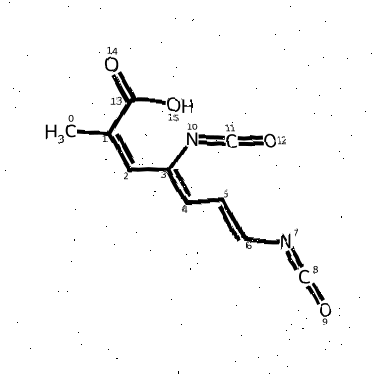 CC(=CC(=CC=CN=C=O)N=C=O)C(=O)O